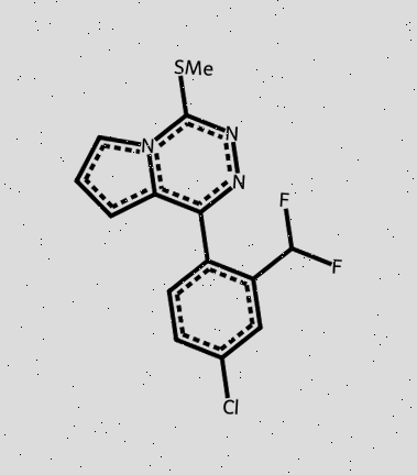 CSc1nnc(-c2ccc(Cl)cc2C(F)F)c2cccn12